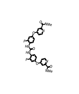 CNC(=O)c1cc(Oc2ccc(NC(=O)Nc3ccc(Oc4ccnc(C(=O)NC)c4)cc3F)c(F)c2)ccn1